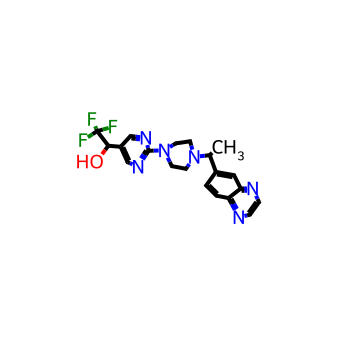 CC(c1ccc2nccnc2c1)N1CCN(c2ncc(C(O)C(F)(F)F)cn2)CC1